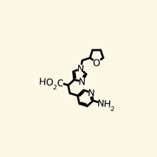 Nc1ccc(CC(C(=O)O)c2cn(CC3CCCO3)cn2)cn1